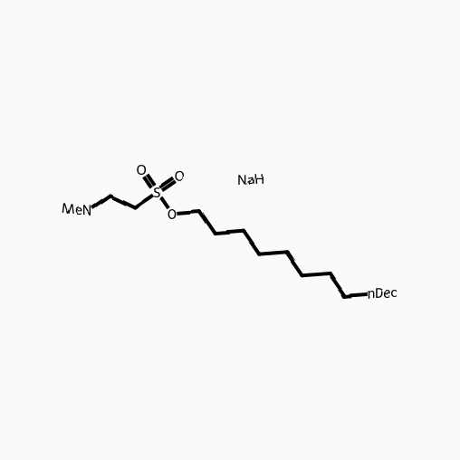 CCCCCCCCCCCCCCCCCCOS(=O)(=O)CCNC.[NaH]